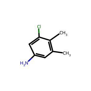 Cc1cc(N)cc(Cl)c1C